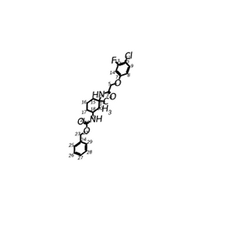 CC1(NC(=O)COc2ccc(Cl)c(F)c2)CCCC(NC(=O)OCc2ccccc2)C1